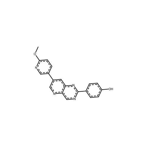 COc1ccc(-c2cnc3cnc(-c4ccc(O)cc4)nc3c2)cn1